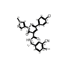 C[C@H](NC(=O)c1cc(-c2ccc(Cl)cc2)nn(-c2cnn(C)c2)c1=O)c1ccc(F)c(C#N)c1